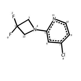 FC1(F)CN(c2cc(Cl)ccn2)C1